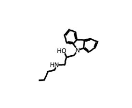 CCCCNCC(O)Cn1c2ccccc2c2ccccc21